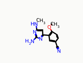 CNc1cc(-c2cc(C#N)ccc2OC)nc(N)n1